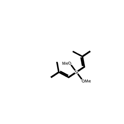 CO[Si](C=C(C)C)(C=C(C)C)OC